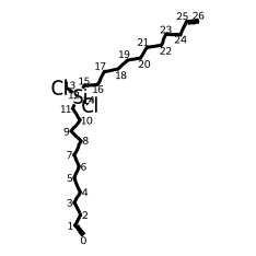 C=CCCCCCCCCCC[Si](Cl)(Cl)CCCCCCCCCCC=C